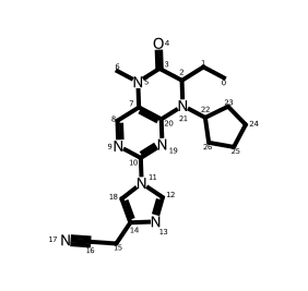 CCC1C(=O)N(C)c2cnc(-n3cnc(CC#N)c3)nc2N1C1CCCC1